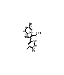 Cc1cc(C2=C(CO)N3C=C(Br)N=CC3N2)c(F)cc1Cl